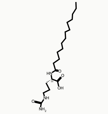 CCCCCCCCCCCCCC(=O)N[C@@H](CCCNC(N)=O)C(=O)O